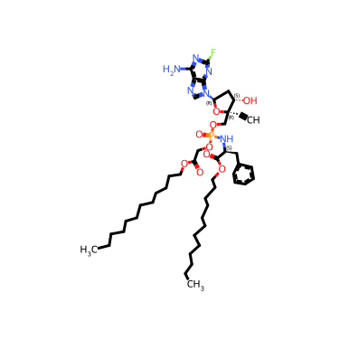 C#C[C@]1(COP(=O)(N[C@@H](Cc2ccccc2)C(=O)OCCCCCCCCCCCC)OCC(=O)OCCCCCCCCCCCC)O[C@@H](n2cnc3c(N)nc(F)nc32)C[C@@H]1O